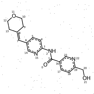 O=C(Nc1ccc(C=C2CCOCC2)cn1)c1ccc(CO)nc1